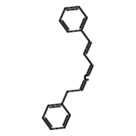 C(=C/C=C/c1ccccc1)=CCc1ccccc1